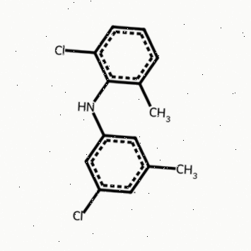 Cc1[c]c(Cl)cc(Nc2c(C)cccc2Cl)c1